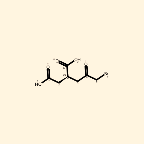 O=C(O)C[C@H](CC(=O)CBr)C(=O)O